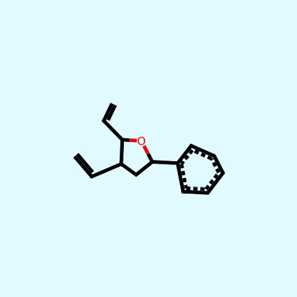 C=CC1CC(c2ccccc2)OC1C=C